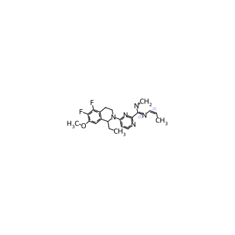 C=N/C(=N\C=C/C)c1nccc(N2CCc3c(cc(OC)c(F)c3F)C2CC)n1